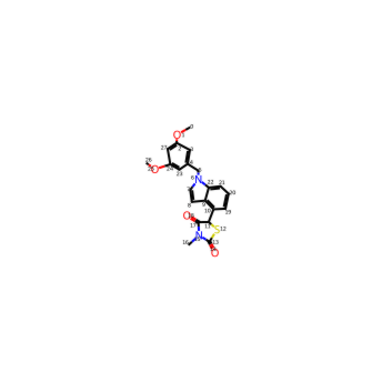 COc1cc(Cn2ccc3c(C4SC(=O)N(C)C4=O)cccc32)cc(OC)c1